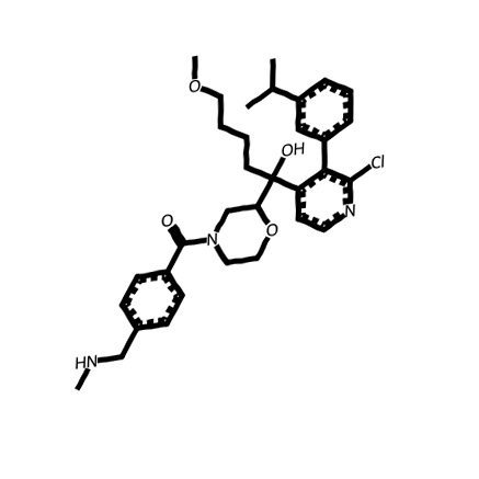 CNCc1ccc(C(=O)N2CCOC(C(O)(CCCCOC)c3ccnc(Cl)c3-c3cccc(C(C)C)c3)C2)cc1